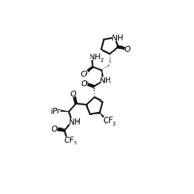 CC(C)[C@H](NC(=O)C(F)(F)F)C(=O)C1C[C@H](C(F)(F)F)C[C@H]1C(=O)N[C@@H](C[C@@H]1CCNC1=O)C(N)=O